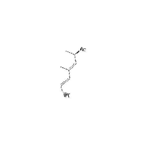 CC(=O)[C@H](C)/C=C(C)/C=C/C(C)C